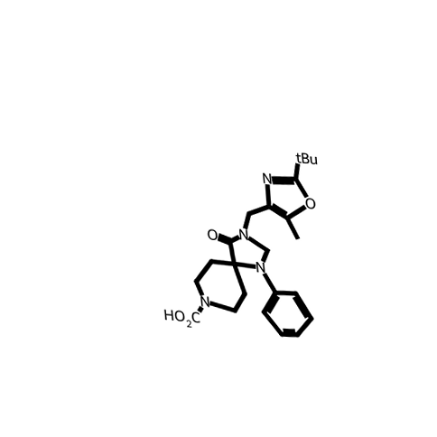 Cc1oc(C(C)(C)C)nc1CN1CN(c2ccccc2)C2(CCN(C(=O)O)CC2)C1=O